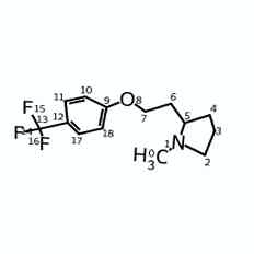 CN1CCCC1CCOc1ccc(C(F)(F)F)cc1